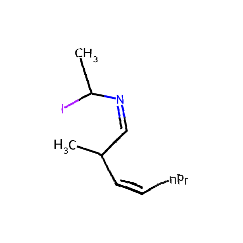 CCC/C=C\C(C)/C=N\C(C)I